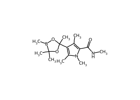 CNC(=O)c1c(C)c(C2(C)OB(C)C(C)(C)O2)c(C)n1C